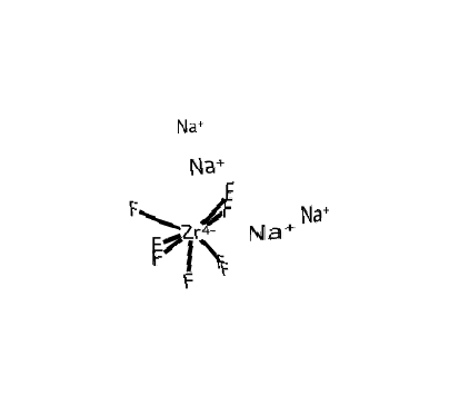 [F][Zr-4]([F])([F])([F])([F])([F])([F])[F].[Na+].[Na+].[Na+].[Na+]